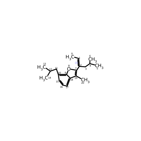 C/C=C(/CC(C)C)c1oc2c(CC(C)C)cccc2c1C